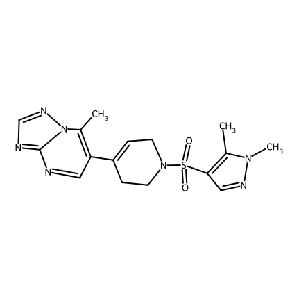 Cc1c(S(=O)(=O)N2CC=C(c3cnc4ncnn4c3C)CC2)cnn1C